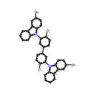 CC(C)(C)c1ccc2c(c1)c1ccccc1n2-c1cc(-c2ccc(C(F)(F)F)c(-n3c4ccccc4c4cc(C(C)(C)C)ccc43)c2)ccc1C(F)(F)F